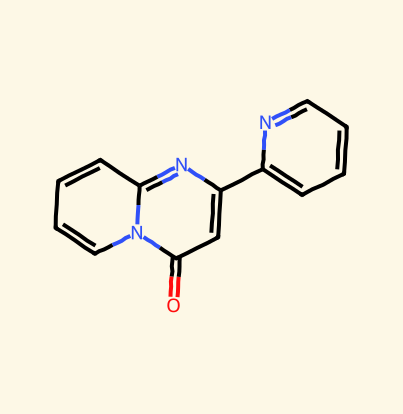 O=c1cc(-c2ccccn2)nc2ccccn12